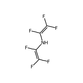 FC(F)=C(F)NC(F)=C(F)F